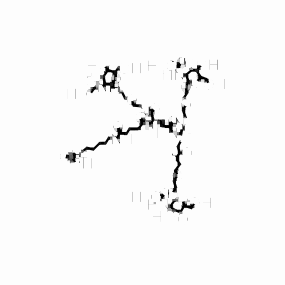 CC(=O)NC1C(OCCOCCNC(=O)CC[C@H](NC(=O)CC[C@H](NC(=O)CCCC(=O)NCCCCCCO[PH](=O)O)C(=O)NCCOCCOC2OC(CO)C(O)C(O)C2NC(C)=O)C(=O)NCCOCCOC2OC(CO)C(O)C(O)C2NC(C)=O)OC(CO)C(O)C1O